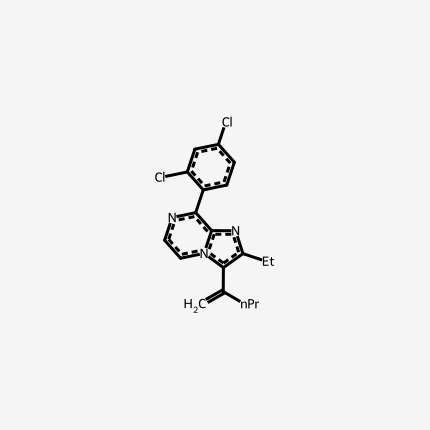 C=C(CCC)c1c(CC)nc2c(-c3ccc(Cl)cc3Cl)nccn12